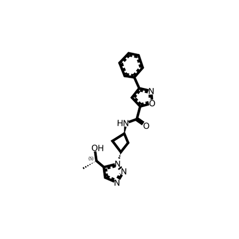 C[C@H](O)c1cnnn1[C@H]1C[C@H](NC(=O)c2cc(-c3ccccc3)no2)C1